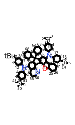 C[SiH](C)c1ccc(N(c2ccc([Si](C)(C)C)cc2)c2cc3c(c4oc5ccccc5c24)-c2c(cc(N(c4ccc(C(C)(C)C)cc4)c4ccc([Si](C)(C)C)cc4)c4cccnc24)C3(c2ccccc2)c2ccccc2)cc1